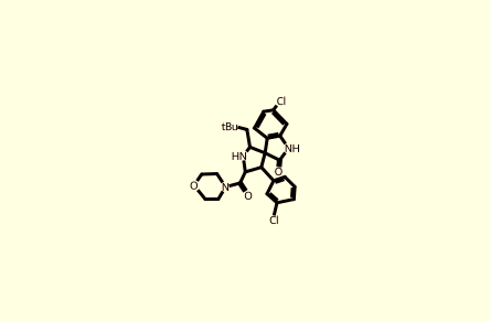 CC(C)(C)CC1NC(C(=O)N2CCOCC2)C(c2cccc(Cl)c2)C12C(=O)Nc1cc(Cl)ccc12